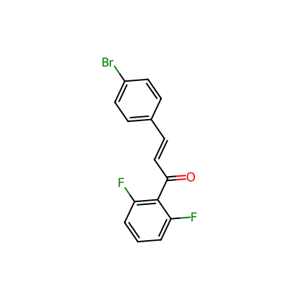 O=C(C=Cc1ccc(Br)cc1)c1c(F)cccc1F